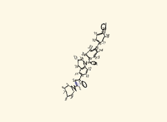 O=C(/C=C/N1CCCCC1)c1ccc2c(c1)CCCN2C(=O)c1ccc(-c2ccc(Cl)cc2)cc1